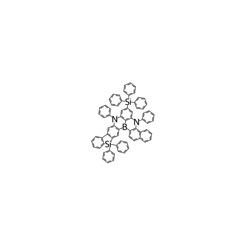 c1ccc(N2c3cc4c(cc3B3c5ccc6ccccc6c5N(c5ccccc5)c5cc([Si](c6ccccc6)(c6ccccc6)c6ccccc6)cc2c53)[Si](c2ccccc2)(c2ccccc2)c2ccccc2-4)cc1